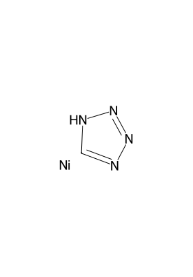 [Ni].c1nnn[nH]1